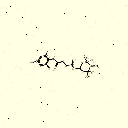 CN1C(C)(C)CC(OC(=O)CCC(=O)Oc2c(I)cc(I)cc2I)CC1(C)C